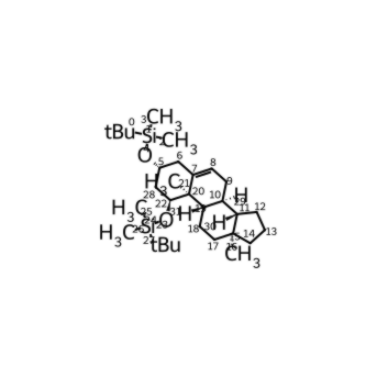 CC(C)(C)[Si](C)(C)O[C@@H]1CC2=CC[C@H]3[C@@H]4CCC[C@@]4(C)CC[C@@H]3[C@@]2(C)[C@@H](O[Si](C)(C)C(C)(C)C)C1